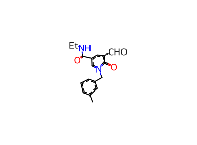 CCNC(=O)c1cc(C=O)c(=O)n(Cc2cccc(C)c2)c1